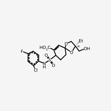 CC[C@@]1(CO)COC2(C=C(C(=O)O)C(S(=O)(=O)Nc3ccc(F)cc3Cl)CC2)O1